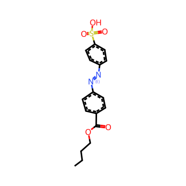 CCCCOC(=O)c1ccc(/N=N/c2ccc(S(=O)(=O)O)cc2)cc1